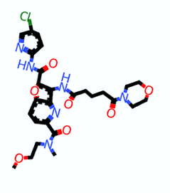 COCCN(C)C(=O)c1ccc2oc(C(=O)Nc3ccc(Cl)cn3)c(NC(=O)CCCC(=O)N3CCOCC3)c2n1